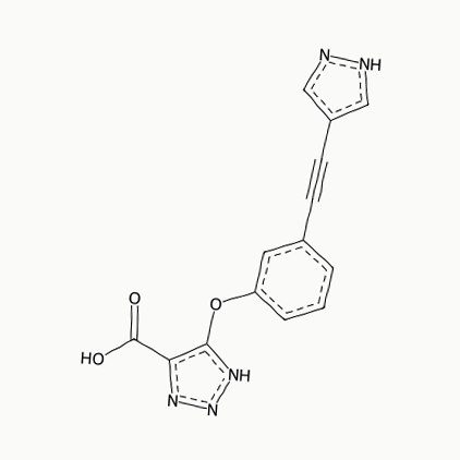 O=C(O)c1nn[nH]c1Oc1cccc(C#Cc2cn[nH]c2)c1